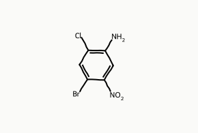 Nc1cc([N+](=O)[O-])c(Br)cc1Cl